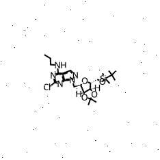 CCCNc1nc(Cl)nc2c1cnn2C[C@H]1O[C@H](CO[Si](C)(C)C(C)(C)C)[C@H]2OC(C)(C)O[C@H]21